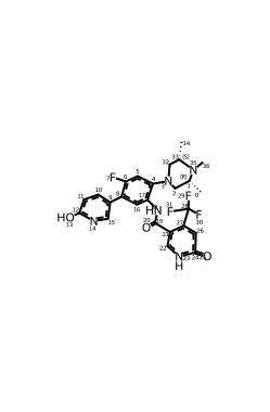 C[C@@H]1CN(c2cc(F)c(-c3ccc(O)nc3)cc2NC(=O)c2c[nH]c(=O)cc2C(F)(F)F)C[C@H](C)N1C